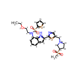 CCOCCN(c1cccc2cc(-c3ncc(CN4CCC(S(C)(=O)=O)C4)s3)[nH]c12)S(=O)(=O)c1cccs1